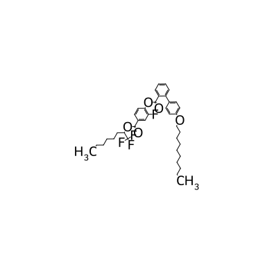 CCCCCCCCCCOc1ccc(-c2ccccc2C(=O)Oc2ccc(C(=O)OC(CCCCCC)C(F)(F)F)cc2F)cc1